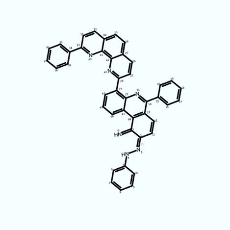 N=C1/C(=N\Nc2ccccc2)C=Cc2c(-c3ccccc3)nc3c(-c4ccc5ccc6ccc(-c7ccccc7)nc6c5n4)cccc3c21